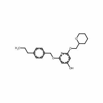 CCCc1ccc(COc2cc(O)cc(OCC3CCCCO3)n2)cc1